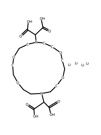 O=C(O)C(C(=O)O)N1CCOCCOCCN(C(C(=O)O)C(=O)O)CCOCCOCC1.[Li].[Li].[Li].[Li]